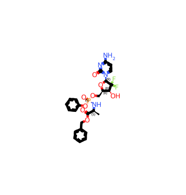 C[C@H](N[P@](=O)(OC[C@H]1O[C@@H](n2ccc(N)nc2=O)C(F)(F)[C@@H]1O)Oc1ccccc1)C(=O)OCc1ccccc1